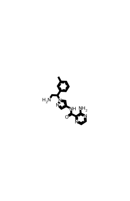 Cc1cccc(C(CN)n2cc(NC(=O)c3nccnc3N)cn2)c1